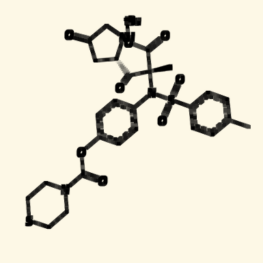 Cc1ccc(S(=O)(=O)N(c2ccc(OC(=O)N3CCSCC3)cc2)[C@@](C)(C(=O)OC(C)(C)C)C(=O)[C@@H]2CC(=O)CN2)cc1